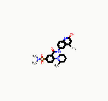 Cc1cc(O)nc2ccc(NC(=O)c3cc(S(=O)(=O)N(C)C)ccc3N3CCCCC3C)cc12